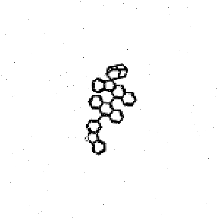 c1ccc2c(c1)-c1c(cc3ccccc3c1-c1c3ccccc3c(-c3ccc4oc5ccccc5c4c3)c3ccccc13)C21C2CC3CC(C2)CC1C3